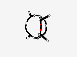 O=C1CCCCC(=O)ON2CCCCCCN(O1)OC(=O)CCCCC(=O)O2